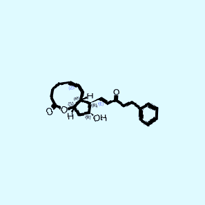 O=C(/C=C/[C@@H]1[C@H]2C/C=C\CCCC(=O)O[C@H]2C[C@H]1O)CCc1ccccc1